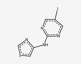 Ic1cnc(Nc2cscn2)nc1